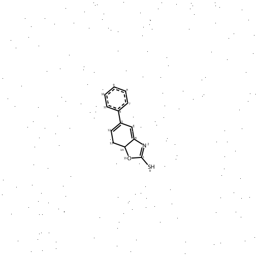 SC1=NC2=CC(c3ccccc3)=CCC2O1